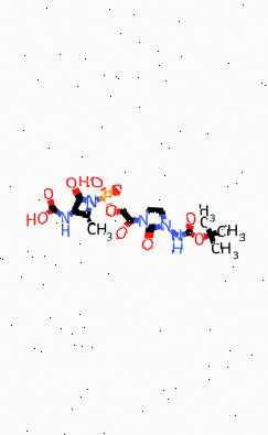 C[C@H]1C(NC(=O)O)C(=O)N1P(=O)(O)OCC(=O)N1CCN(NC(=O)OC(C)(C)C)C1=O